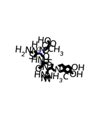 Cc1c(O)c(O)cc2cc[n+](CC3=C(c4nnn[nH]4)N4C(=O)[C@@H](NC(=O)/C(=N\OC(C)(C)C(=O)O)c5csc(N)n5)[C@H]4SC3)cc12